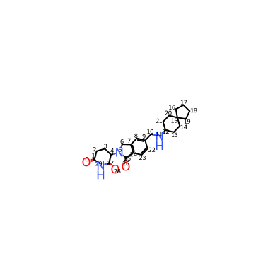 O=C1CCC(N2Cc3cc(CNC4CCC5(CCCC5)CC4)ccc3C2=O)C(=O)N1